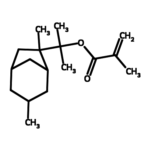 C=C(C)C(=O)OC(C)(C)C1(C)CC2CC(C)CC1C2